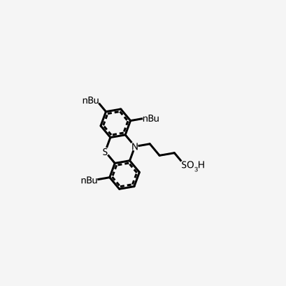 CCCCc1cc(CCCC)c2c(c1)Sc1c(CCCC)cccc1N2CCCS(=O)(=O)O